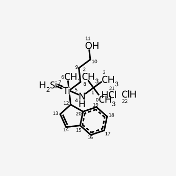 CC(C)(C)[NH][Ti]([CH3])(=[SiH2])([CH2]CCO)[CH]1C=Cc2ccccc21.Cl.Cl